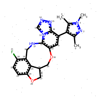 Cc1nn(C)c(C)c1-c1cc2c(n3cnnc13)NCc1c(F)ccc3c1[C@H](CO3)CO2